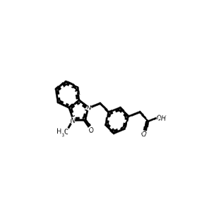 Cn1c(=O)n(Cc2cccc(CC(=O)O)c2)c2ccccc21